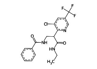 CCNC(=O)C(CNC(=O)c1ccccc1)c1ncc(C(F)(F)F)cc1Cl